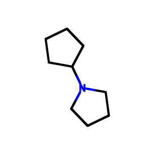 C1CCC(N2CCCC2)C1